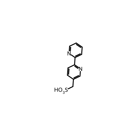 O=S(=O)(O)Cc1ccc(-c2ccccn2)nc1